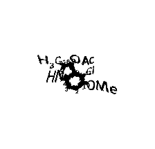 COc1ccc2[nH]c(C)c(OC(C)=O)c2c1Cl